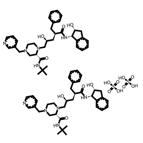 CC(C)(C)NC(=O)[C@@H]1CN(Cc2cccnc2)CCN1C[C@@H](O)C[C@@H](Cc1ccccc1)C(=O)N[C@H]1c2ccccc2C[C@H]1O.CC(C)(C)NC(=O)[C@@H]1CN(Cc2cccnc2)CCN1C[C@@H](O)C[C@@H](Cc1ccccc1)C(=O)N[C@H]1c2ccccc2C[C@H]1O.O=S(=O)(O)O.O=S(=O)(O)O